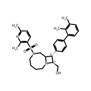 Cc1ccc(S(=O)(=O)N2CCCCN3C(C2)[C@H](c2ccc(-c4cccc(C)c4C)cc2)[C@H]3CO)c(C)n1